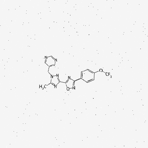 Cc1nc(-c2nc(-c3ccc(OC(F)(F)F)cc3)no2)nn1Cc1cncnc1